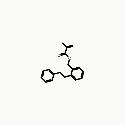 C=C(C)C(=O)OCc1ccccc1CCc1ccccc1